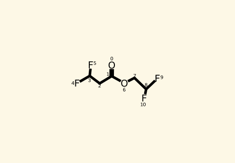 O=C(CC(F)F)OCC(F)F